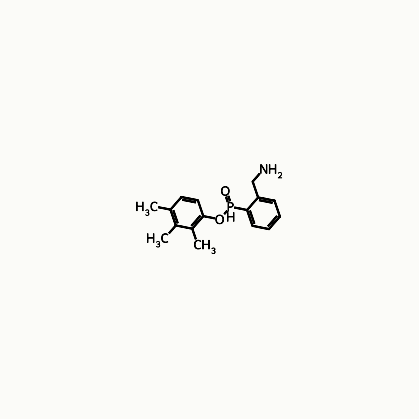 Cc1ccc(O[PH](=O)c2ccccc2CN)c(C)c1C